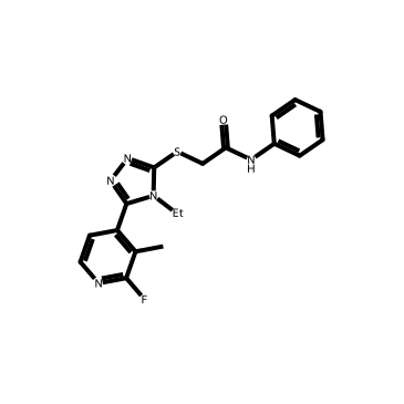 CCn1c(SCC(=O)Nc2ccccc2)nnc1-c1ccnc(F)c1C